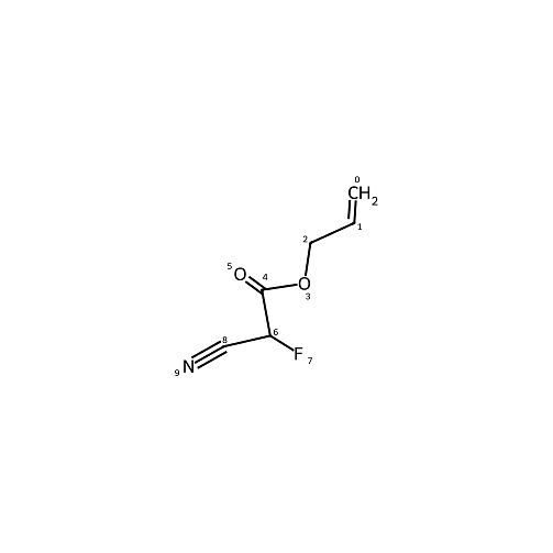 C=CCOC(=O)C(F)C#N